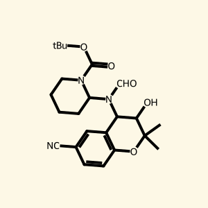 CC(C)(C)OC(=O)N1CCCCC1N(C=O)C1c2cc(C#N)ccc2OC(C)(C)C1O